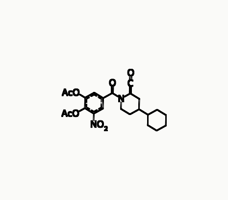 CC(=O)Oc1cc(C(=O)N2CCC(C3CCCCC3)CC2=C=O)cc([N+](=O)[O-])c1OC(C)=O